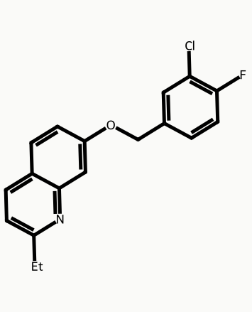 CCc1ccc2ccc(OCc3ccc(F)c(Cl)c3)cc2n1